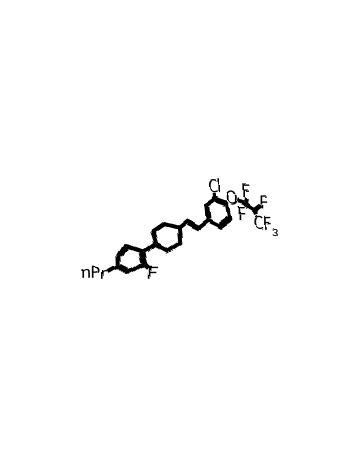 CCCc1ccc(C2CCC(C=Cc3ccc(OC(F)(F)C(F)C(F)(F)F)c(Cl)c3)CC2)c(F)c1